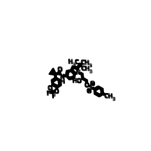 Cc1ccc(S(=O)(=O)OC[C@H](O)Cn2c(C(C)(C)C)cc3cc(NC(=O)C4(c5ccc6c(c5)OC(F)(F)O6)CC4)ccc32)cc1